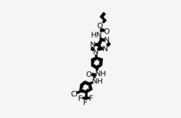 C=CCOC(=O)Nc1ncnc2c1ncn2-c1ccc(NC(=O)Nc2ccc(Cl)c(C(F)(F)F)c2)cc1